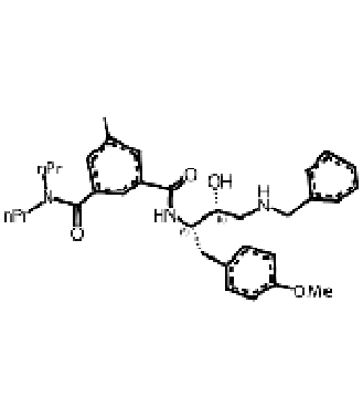 CCCN(CCC)C(=O)c1cc(C)cc(C(=O)N[C@@H](Cc2ccc(OC)cc2)[C@H](O)CNCc2ccccc2)c1